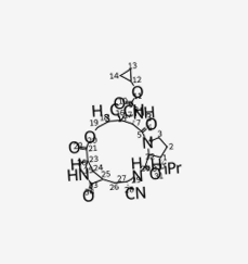 CC(C)[C@H]1CCN2C(=O)[C@@H](NC(=O)OC3CC3)C(C)(C)CCOC(=O)[C@@H]3CC(C[C@@H](C#N)NC(=O)[C@H]12)C(=O)N3